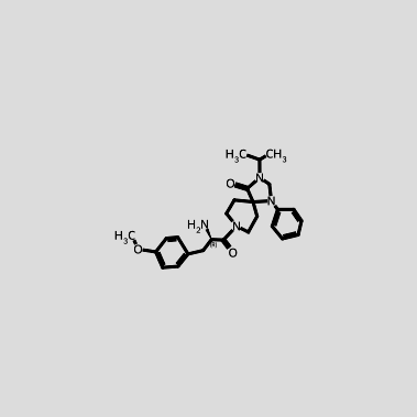 COc1ccc(C[C@@H](N)C(=O)N2CCC3(CC2)C(=O)N(C(C)C)CN3c2ccccc2)cc1